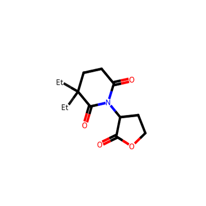 CCC1(CC)CCC(=O)N(C2CCOC2=O)C1=O